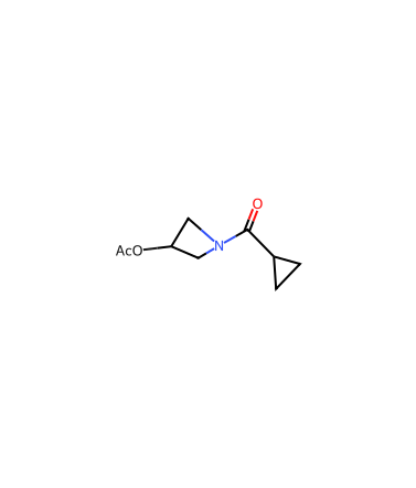 CC(=O)OC1CN(C(=O)C2CC2)C1